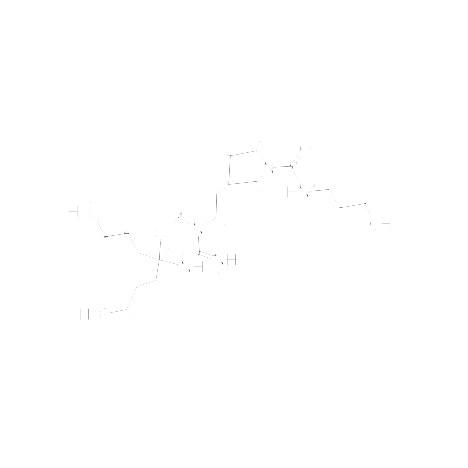 CCCCNC(=O)N1CCC(CCN2COC(CCCC)(CCCC)NC2=N)C1